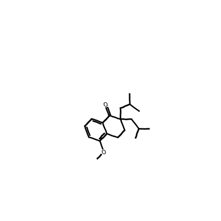 COc1cccc2c1CCC(CC(C)C)(CC(C)C)C2=O